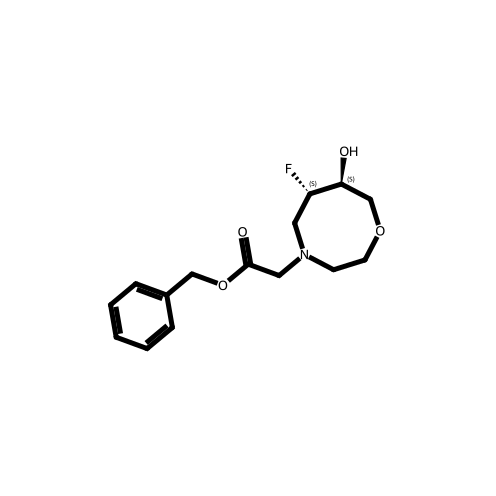 O=C(CN1CCOC[C@H](O)[C@@H](F)C1)OCc1ccccc1